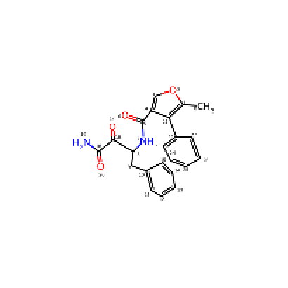 Cc1occ(C(=O)NC(Cc2ccccc2)C(=O)C(N)=O)c1-c1ccccc1